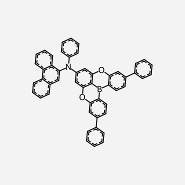 c1ccc(-c2ccc3c(c2)Oc2cc(N(c4ccccc4)c4cc5ccccc5c5ccccc45)cc4c2B3c2ccc(-c3ccccc3)cc2O4)cc1